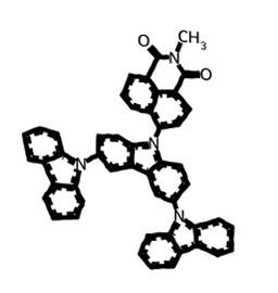 CN1C(=O)c2cccc3c(-n4c5ccc(-n6c7ccccc7c7ccccc76)cc5c5cc(-n6c7ccccc7c7ccccc76)ccc54)ccc(c23)C1=O